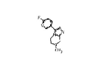 CN1CCn2c(nnc2-c2ccc(F)nc2)C1